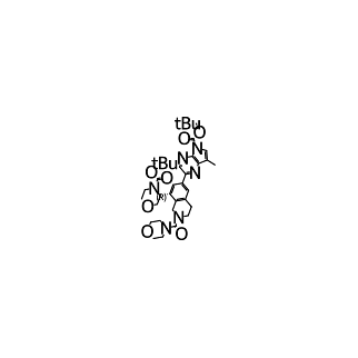 Cc1cn(C(=O)OC(C)(C)C)c2ncc(-c3cc4c(c([C@@H]5COCCN5C(=O)OC(C)(C)C)c3)CN(C(=O)N3CCOCC3)CC4)nc12